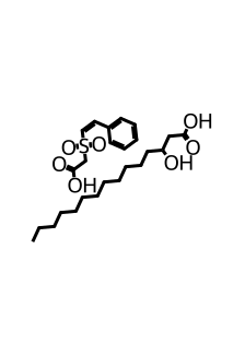 CCCCCCCCCCCCC(O)CC(=O)O.O=C(O)CS(=O)(=O)/C=C\c1ccccc1